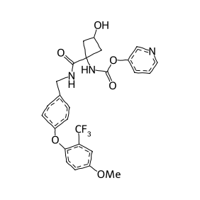 COc1ccc(Oc2ccc(CNC(=O)C3(NC(=O)Oc4cccnc4)CC(O)C3)cc2)c(C(F)(F)F)c1